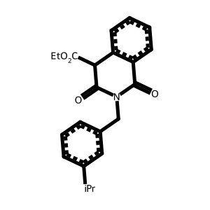 CCOC(=O)C1C(=O)N(Cc2cccc(C(C)C)c2)C(=O)c2ccccc21